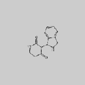 O=C1CCNC(=O)C1C1NCc2ccccc21